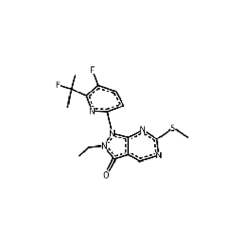 CCn1c(=O)c2cnc(SC)nc2n1-c1ccc(F)c(C(C)(C)F)n1